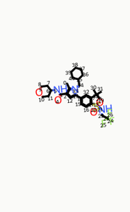 Cc1c(C(=O)NC2CCOCC2)cc(-c2ccc(S(=O)(=O)NCC(F)(F)F)c(C(C)(C)C)c2)n1CC1CCCCC1